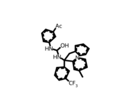 CC(=O)c1cccc(NC(O)NC(Cc2ccccc2)(c2cccc(C(F)(F)F)c2)c2cc(C)ccn2)c1